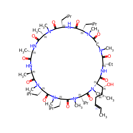 C/C=C/C[C@@H](C)[C@@H](O)[C@H]1C(=O)N[C@@H](CC)C(=O)N(C)CC(=O)N(C)[C@@H](CC(C)C)C(=O)N[C@@H](CC(C)C)C(=O)N(C)[C@@H](C)C(=O)N[C@@H](C)C(=O)N[C@H](C)C(=O)N(C)[C@@H](CC(C)C)C(=O)N(C)[C@@H](CC(C)C)C(=O)N(C)[C@@H](C(C)C)C(=O)N1C